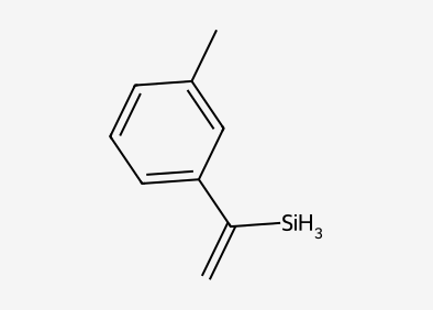 C=C([SiH3])c1cccc(C)c1